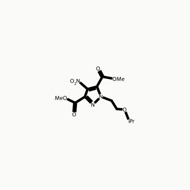 COC(=O)c1nn(CCOC(C)C)c(C(=O)OC)c1[N+](=O)[O-]